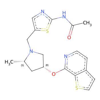 CC(=O)Nc1ncc(CN2C[C@H](Oc3nccc4ccsc34)C[C@@H]2C)s1